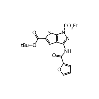 CCOC(=O)n1nc(NC(=O)c2ccco2)c2cc(C(=O)OC(C)(C)C)sc21